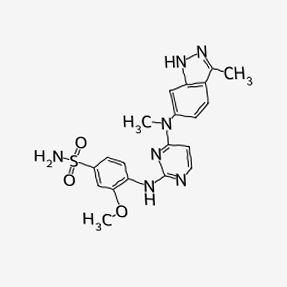 COc1cc(S(N)(=O)=O)ccc1Nc1nccc(N(C)c2ccc3c(C)n[nH]c3c2)n1